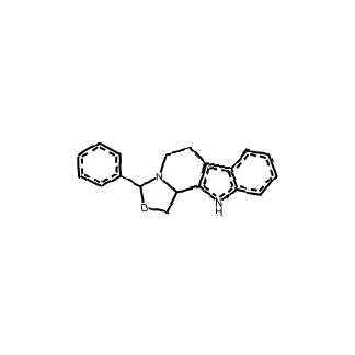 c1ccc(C2OCC3c4[nH]c5ccccc5c4CCN32)cc1